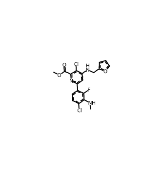 CNc1c(Cl)ccc(-c2cc(NCc3ccco3)c(Cl)c(C(=O)OC)n2)c1F